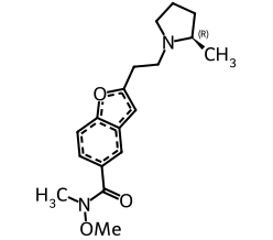 CON(C)C(=O)c1ccc2oc(CCN3CCC[C@H]3C)cc2c1